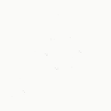 CC(C)CCC1(CO)CN(C2CCCC2)C(=O)C(C2=NS(=O)(=O)c3cc(NS(C)(=O)=O)ccc3N2)=C1O